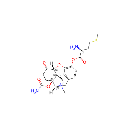 CSCC[C@H](N)C(=O)Oc1ccc2c3c1O[C@H]1C(=O)CC[C@@]4(OC(N)=O)[C@@H](C2)N(C)CC[C@]314